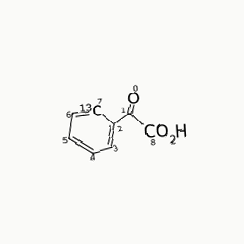 O=C(c1cccc[13cH]1)[13C](=O)O